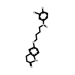 O=C1CCc2cc(OCCCC[S+]([O-])c3ccc(Cl)c(Cl)c3)ccc2N1